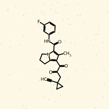 C#CC1(CC(=O)C(=O)c2c(C)c(C(=O)Nc3cccc(F)c3)n3c2CCC3)CC1